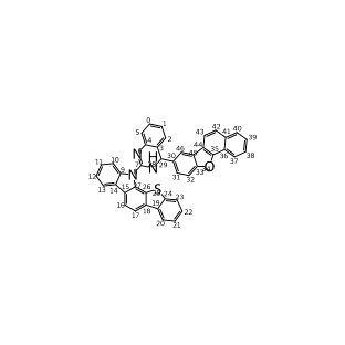 c1ccc2c(c1)N=C(n1c3ccccc3c3ccc4c5ccccc5sc4c31)NC2c1ccc2oc3c4ccccc4ccc3c2c1